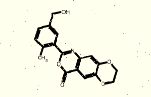 Cc1ccc(CO)cc1-c1nc2cc3c(cc2c(=O)o1)OCCO3